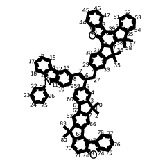 CC1(C)c2cc(/C(=C\c3ccc4c(c3)c3ccccc3n4-c3ccccc3)Cc3ccc4c(c3)C(C)(C)c3c5c(c6c(oc7ccccc76)c3-4)-c3ccccc3C5(C)C)ccc2-c2cc3c(cc21)-c1c(ccc2oc4ccccc4c12)C3(C)C